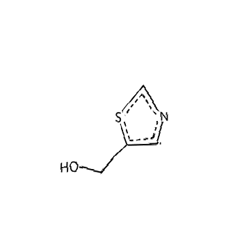 OCc1[c]ncs1